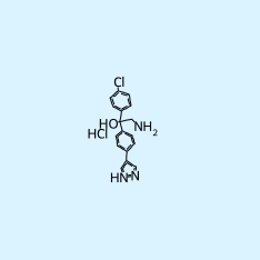 Cl.NCC(O)(c1ccc(Cl)cc1)c1ccc(-c2cn[nH]c2)cc1